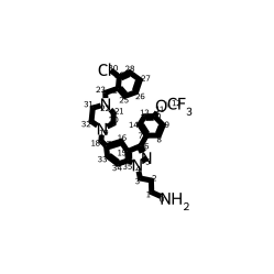 NCCCn1nc(-c2ccc(OC(F)(F)F)cc2)c2cc(CN3CCN(Cc4ccccc4Cl)CC3)ccc21